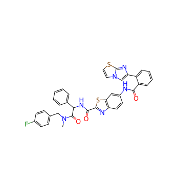 CN(Cc1ccc(F)cc1)C(=O)C(NC(=O)c1nc2ccc(NC(=O)c3ccccc3-c3cn4ccsc4n3)cc2s1)c1ccccc1